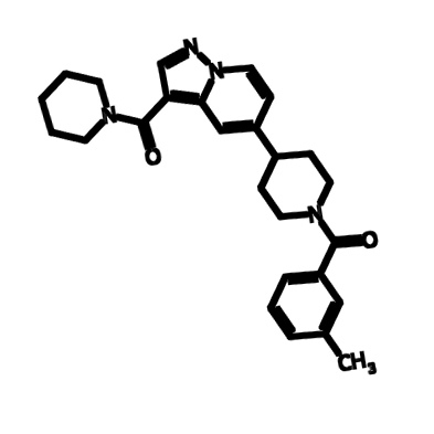 Cc1cccc(C(=O)N2CCC(c3ccn4ncc(C(=O)N5CCCCC5)c4c3)CC2)c1